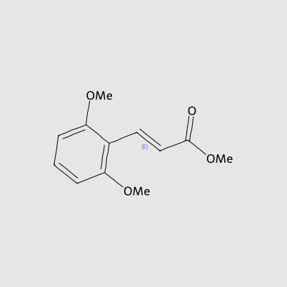 COC(=O)/C=C/c1c(OC)cccc1OC